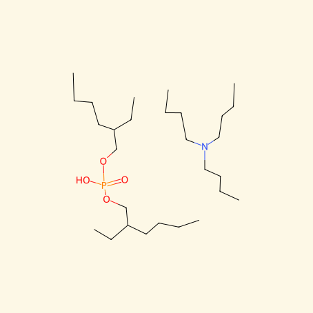 CCCCC(CC)COP(=O)(O)OCC(CC)CCCC.CCCCN(CCCC)CCCC